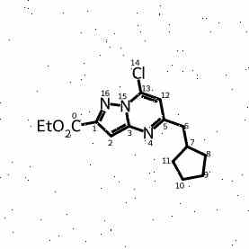 CCOC(=O)c1cc2nc(CC3CCCC3)cc(Cl)n2n1